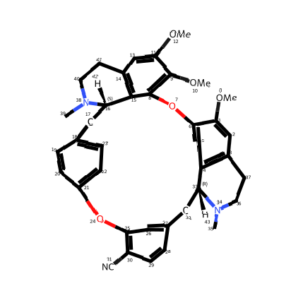 COc1cc2c3cc1Oc1c(OC)c(OC)cc4c1[C@H](Cc1ccc(cc1)Oc1cc(ccc1C#N)C[C@H]3N(C)CC2)N(C)CC4